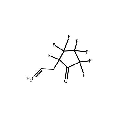 C=CCC1(F)C(=O)C(F)(F)C(F)(F)C1(F)F